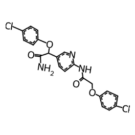 NC(=O)C(Oc1ccc(Cl)cc1)c1ccc(NC(=O)COc2ccc(Cl)cc2)nc1